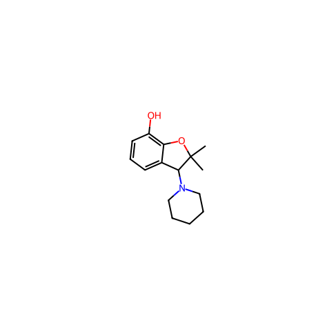 CC1(C)Oc2c(O)cccc2C1N1CCCCC1